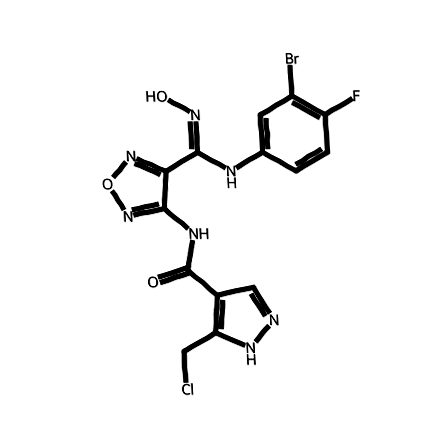 O=C(Nc1nonc1C(=NO)Nc1ccc(F)c(Br)c1)c1cn[nH]c1CCl